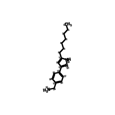 CCCCCCCc1cc(-c2ccc(CN)cc2)n[nH]1